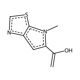 C=C(O)c1cc2ncsc2n1C